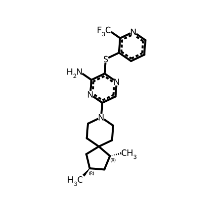 C[C@@H]1C[C@@H](C)C2(CCN(c3cnc(Sc4cccnc4C(F)(F)F)c(N)n3)CC2)C1